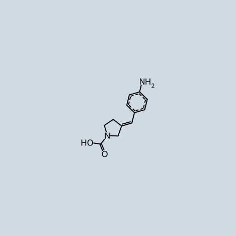 Nc1ccc(/C=C2\CCN(C(=O)O)C2)cc1